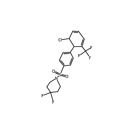 O=S(=O)(c1ccc(C2C(C(F)(F)F)=C[C]=CC2Cl)cc1)N1CCC(F)(F)CC1